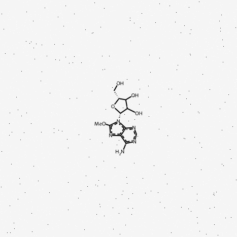 COc1nc2c(N)ncnc2n1[C@@H]1O[C@H](CO)C(O)C1O